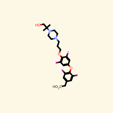 CC(C)(CO)N1CCN(CCCOc2c(I)cc(Oc3c(I)cc(CC(=O)O)cc3I)cc2I)CC1